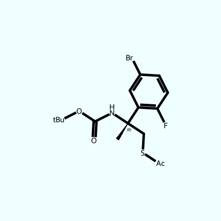 [CH2]C(=O)SC[C@](C)(NC(=O)OC(C)(C)C)c1cc(Br)ccc1F